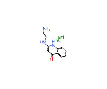 Cl.Cl.NCCNc1cc(=O)c2ccccc2[nH]1